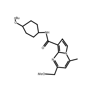 CCCCOC1CCC(NC(=O)c2ccn3c(C)cc(COC)nc23)CC1